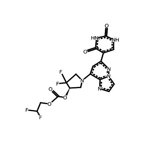 O=C(OCC(F)F)O[C@@H]1CN(c2cc(-c3c[nH]c(=O)[nH]c3=O)nn3ccnc23)CC1(F)F